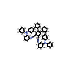 N#Cc1cc(-c2ccccc2-c2ccc(N(c3ccccc3)c3ccccc3)cc2)c(-c2ccccc2-c2ccc(N(c3ccccc3)c3ccccc3)cc2)cc1C#N